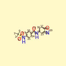 CC(C)(C)S(=O)(=O)Nc1ccc(C(=O)Nc2ccc3ocnc3c2)cc1